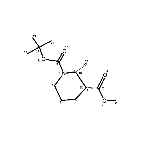 COC(=O)[C@@H]1CCCN(C(=O)OC(C)(C)C)[C@@H]1C